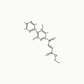 CCOC(=O)/C=C/C(=O)c1cc(C)c(-c2ccncc2)c(C)c1